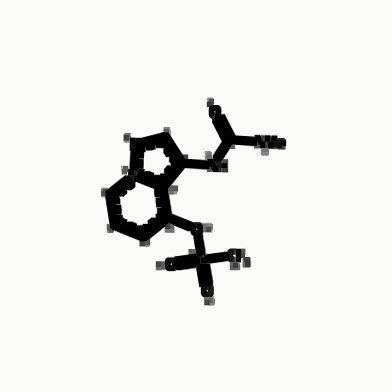 CNC(=O)Nc1cnn2cccc(OS(=O)(=O)C(F)(F)F)c12